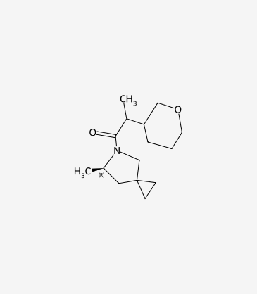 CC(C(=O)N1CC2(CC2)C[C@H]1C)C1CCCOC1